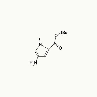 Cn1cc(N)cc1C(=O)OC(C)(C)C